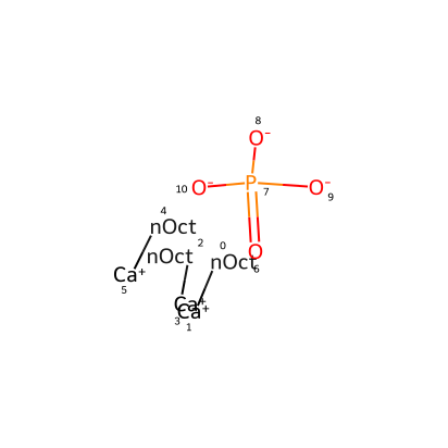 CCCCCCC[CH2][Ca+].CCCCCCC[CH2][Ca+].CCCCCCC[CH2][Ca+].O=P([O-])([O-])[O-]